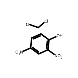 ClCCl.O=[N+]([O-])c1ccc(O)c([N+](=O)[O-])c1